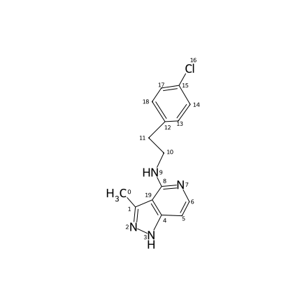 Cc1n[nH]c2ccnc(NCCc3ccc(Cl)cc3)c12